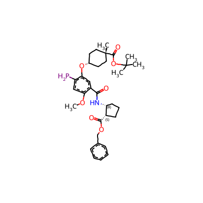 COc1cc(P)c(O[C@H]2CC[C@@](C)(C(=O)OC(C)(C)C)CC2)cc1C(=O)N[C@@H]1CCC[C@@H]1C(=O)OCc1ccccc1